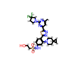 Cc1cc(-c2nnc(-c3ccc(NS(=O)(=O)CCO)cc3N3CCC4(CC3)CC4)s2)nc(N2CCC(F)(F)C2)n1